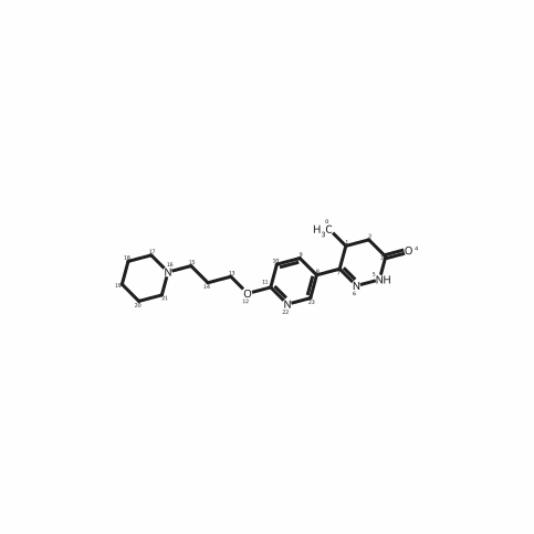 CC1CC(=O)NN=C1c1ccc(OCCCN2CCCCC2)nc1